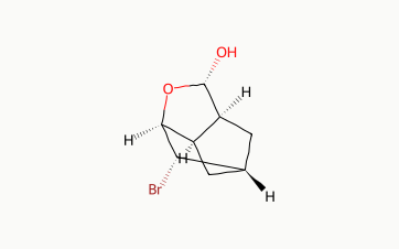 O[C@H]1O[C@@H]2[C@@H](Br)[C@H]3C[C@@H]2[C@@H]1C3